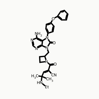 CCNC(C)(C)C=C(C#N)C(=O)N1CCC1Cn1c(=O)n(-c2ccc(Oc3ccccc3)cc2)c2c(N)ncnc21